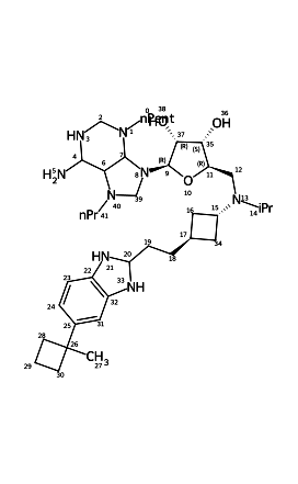 CCCCCN1CNC(N)C2C1N([C@@H]1O[C@H](CN(C(C)C)[C@H]3C[C@H](CCC4Nc5ccc(C6(C)CCC6)cc5N4)C3)[C@@H](O)[C@H]1O)CN2CCC